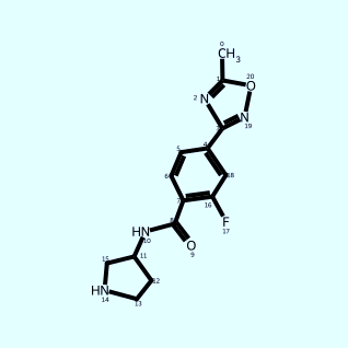 Cc1nc(-c2ccc(C(=O)NC3CCNC3)c(F)c2)no1